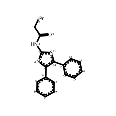 CC(C)CC(=O)Nc1nc(-c2ccccc2)c(-c2ccccc2)s1